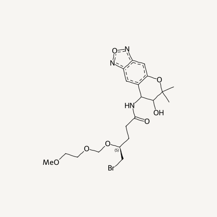 COCCOCO[C@H](CBr)CCC(=O)NC1c2cc3nonc3cc2OC(C)(C)C1O